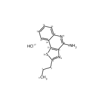 CCCc1nc2c(N)nc3ccccc3c2s1.Cl